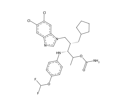 CC(OC(N)=O)[C@H](Nc1ccc(OC(F)F)cc1)[C@@H](CC1CCCC1)Cn1cnc2cc(Cl)c(Cl)cc21